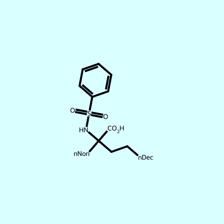 CCCCCCCCCCCCC(CCCCCCCCC)(NS(=O)(=O)c1ccccc1)C(=O)O